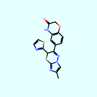 Cc1cn2c(n1)SC(c1nccs1)C(c1ccc3c(c1)NC(=O)CO3)=N2